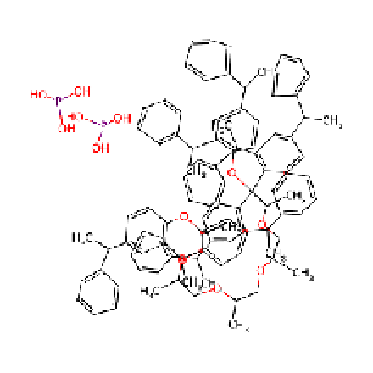 CC(COC(C)COC(C)C(Oc1ccc(C(C)c2ccccc2)cc1C(C)c1ccccc1)(c1ccc(C(C)c2ccccc2)cc1C(C)c1ccccc1)c1ccc(C(C)c2ccccc2)cc1C(C)c1ccccc1)OCC(C)OCC(C)Oc1ccc(C(C)c2ccccc2)cc1C(C)c1ccccc1.OP(O)O.OP(O)O